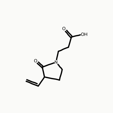 C=CC1CCN(CCC(=O)O)C1=O